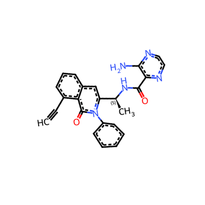 C#Cc1cccc2cc([C@H](C)NC(=O)c3nccnc3N)n(-c3ccccc3)c(=O)c12